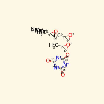 CC1CO1.CC1CO1.CC1CO1.O=c1[n-]c(=O)[n-]c(=O)[n-]1.[Na+].[Na+].[Na+]